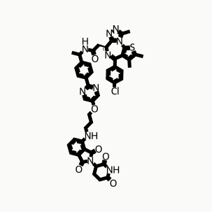 Cc1sc2c(c1C)C(c1ccc(Cl)cc1)=N[C@@H](CC(=O)NC(C)c1ccc(-c3ncc(OCCCNc4cccc5c4C(=O)N(C4CCC(=O)NC4=O)C5=O)cn3)cc1)c1nnc(C)n1-2